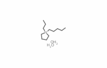 CCCCC[N+]1(CCC)CCCC1.O.O